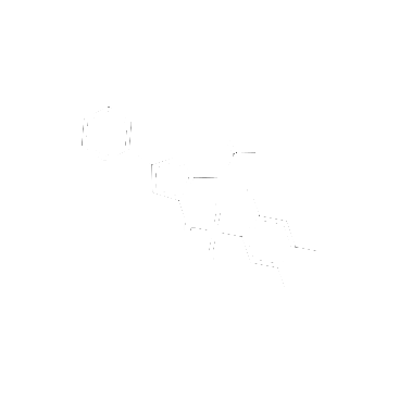 Cc1cc(S(=O)(=O)Nc2cc(-c3ccccc3)sc2OC(=O)O)c(C)cc1Cl